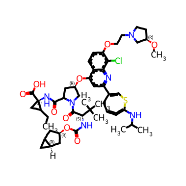 CCC1C[C@]1(NC(=O)C1C[C@@H](Oc2cc(C3=CSC(NC(C)C)=C=CC3)nc3c(Cl)c(OCCN4CC[C@@H](OC)C4)ccc23)CN1C(=O)[C@@H](NC(=O)O[C@@H]1CC2C[C@@H]2C1)C(C)(C)C)C(=O)O